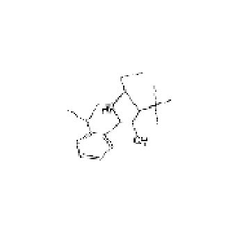 CCC1NC(c2ccccc2C(C)C)C(O)C1C(C)(C)C